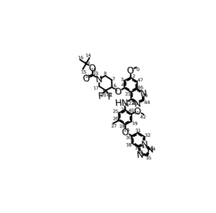 COc1cc(OC2CCN(C(=O)OC(C)(C)C)CC2(F)F)c2c(Nc3cc(C)c(Oc4ccn5ncnc5c4)cc3OC)ncnc2c1